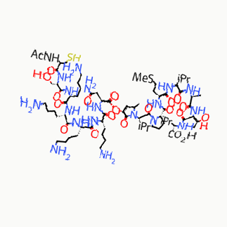 CSCC[C@H](NC(=O)[C@@H]1CCCN1C(=O)[C@H](C(C)C)N1C(=O)[C@@H](OC(=O)[C@H](CC(N)=O)NC(=O)[C@H](CCCCN)NC(=O)[C@H](CCCCN)NC(=O)[C@H](CCCCN)NC(=O)[C@H](CCCCN)NC(=O)[C@H](CO)NC(=O)[C@H](CS)NC(C)=O)CC1C)C(=O)N[C@H](C(=O)N[C@@H](C)C(=O)N[C@H](C(=O)N[C@H](C(=O)O)C(C)C)[C@H](C)O)C(C)C